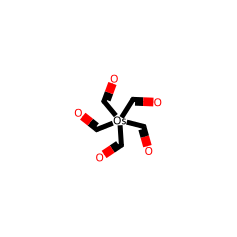 O=[CH][Os]([CH]=O)([CH]=O)([CH]=O)[CH]=O